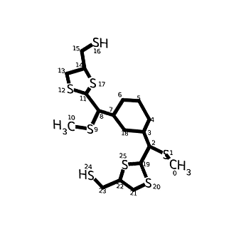 CSC(C1CCCC(C(SC)C2SCC(CS)S2)C1)C1SCC(CS)S1